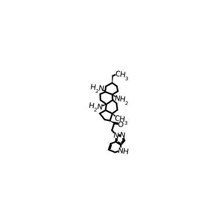 CC[C@H]1CC[C@]2(N)C3CC[C@@]4(C)C(CC[C@@H]4C(=O)Cn4ncc5c4C=CCN5)[C@]3(N)CC[C@]2(N)C1